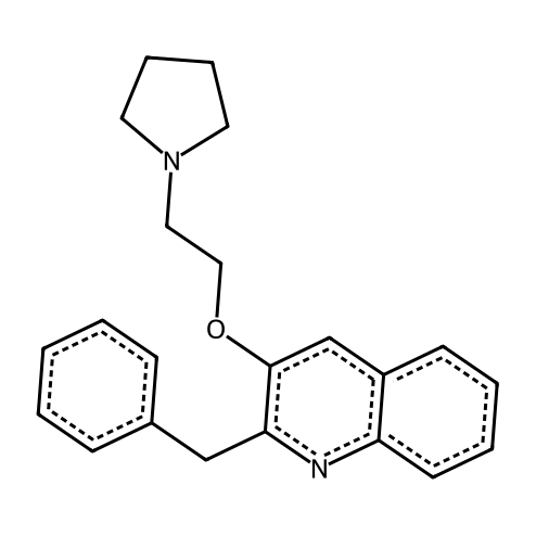 c1ccc(Cc2nc3ccccc3cc2OCCN2CCCC2)cc1